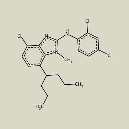 CCCC(CCC)c1ccc(Cl)c2nc(Nc3ccc(Cl)cc3Cl)n(C)c12